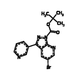 CC(C)(C)OC(=O)n1nc(-c2cccnc2)c2cc(Br)cnc21